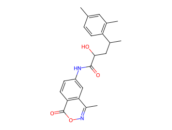 Cc1ccc(C(C)CC(O)C(=O)Nc2ccc3c(=O)onc(C)c3c2)c(C)c1